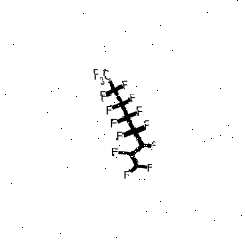 FC(F)C(F)C(F)C(F)(F)C(F)(F)C(F)(F)C(F)(F)C(F)(F)F